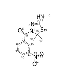 CNC1=NN(C(=O)c2cccc([N+](=O)[O-])c2)C(C)(C)S1